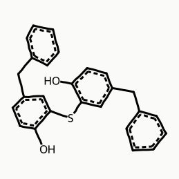 Oc1ccc(Cc2ccccc2)cc1Sc1cc(Cc2ccccc2)ccc1O